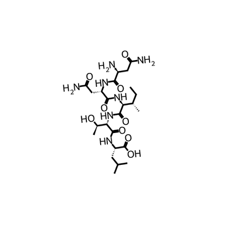 CC[C@H](C)[C@H](NC(=O)[C@H](CC(N)=O)NC(=O)[C@@H](N)CC(N)=O)C(=O)N[C@H](C(=O)N[C@@H](CC(C)C)C(=O)O)[C@@H](C)O